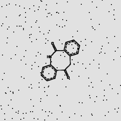 O=C1Nc2ccccc2C(=O)Cc2ccccc21